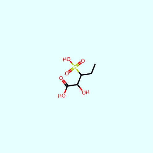 CCC([C](O)C(=O)O)S(=O)(=O)O